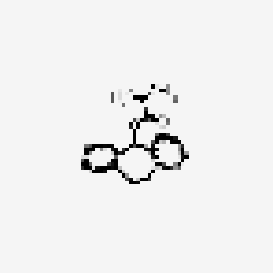 C=C(C)C(=O)OC1c2ccccc2CCc2ccccc21